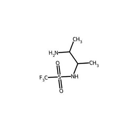 CC(N)C(C)NS(=O)(=O)C(F)(F)F